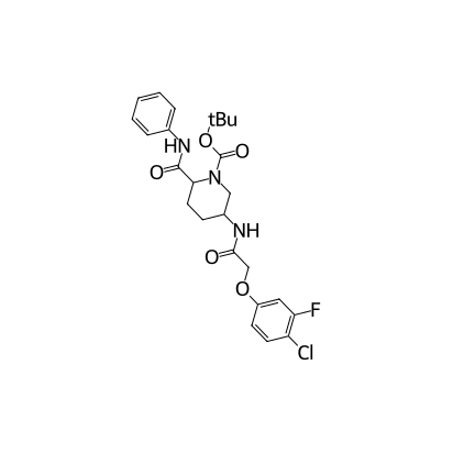 CC(C)(C)OC(=O)N1CC(NC(=O)COc2ccc(Cl)c(F)c2)CCC1C(=O)Nc1ccccc1